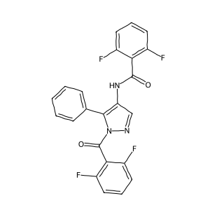 O=C(Nc1cnn(C(=O)c2c(F)cccc2F)c1-c1ccccc1)c1c(F)cccc1F